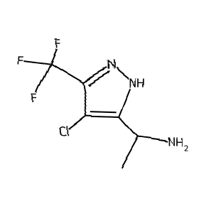 CC(N)c1[nH]nc(C(F)(F)F)c1Cl